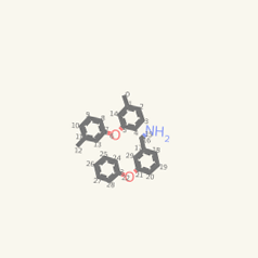 Cc1cccc(Oc2cccc(C)c2)c1.NCc1cccc(Oc2ccccc2)c1